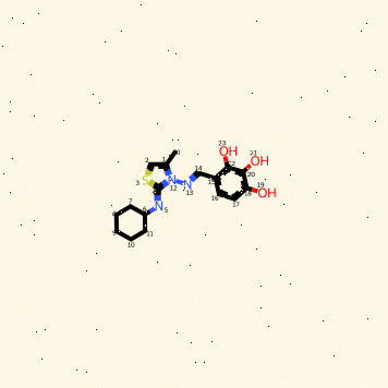 Cc1cs/c(=N\C2CCCCC2)n1/N=C/c1ccc(O)c(O)c1O